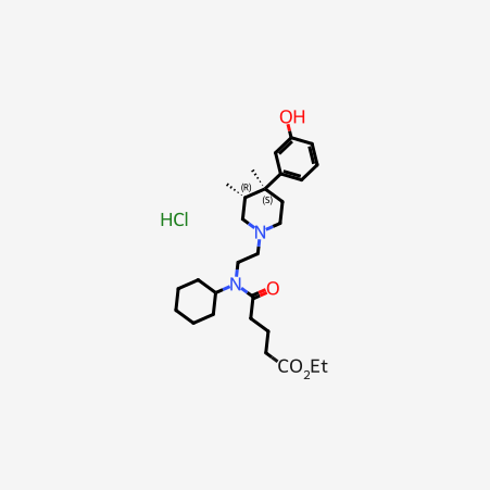 CCOC(=O)CCCC(=O)N(CCN1CC[C@](C)(c2cccc(O)c2)[C@@H](C)C1)C1CCCCC1.Cl